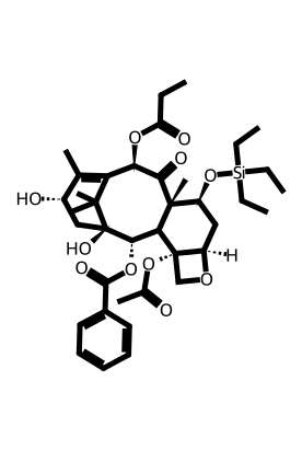 CCC(=O)O[C@H]1C(=O)[C@@]2(C)C([C@H](OC(=O)c3ccccc3)[C@]3(O)C[C@H](O)C(C)=C1C3(C)C)[C@]1(OC(C)=O)CO[C@@H]1C[C@@H]2O[Si](CC)(CC)CC